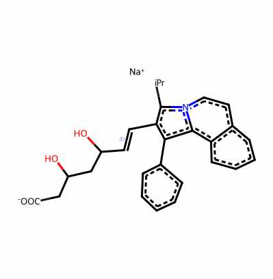 CC(C)c1c(/C=C/C(O)CC(O)CC(=O)[O-])c(-c2ccccc2)c2c3ccccc3ccn12.[Na+]